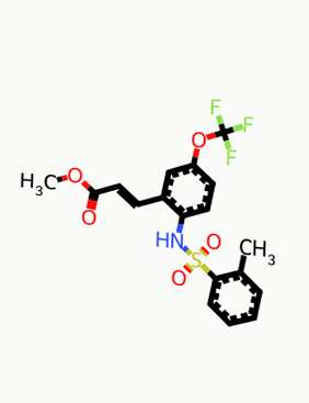 COC(=O)/C=C/c1cc(OC(F)(F)F)ccc1NS(=O)(=O)c1ccccc1C